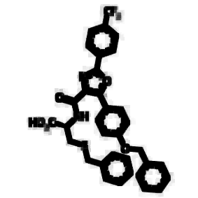 O=C(N[C@@H](CSCc1ccccc1)C(=O)O)c1nc(-c2ccc(C(F)(F)F)cc2)oc1-c1ccc(OCc2ccccc2)cc1